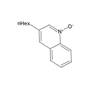 CCCCCCc1cc2ccccc2[n+]([O-])c1